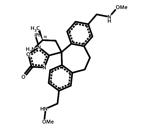 CONCc1ccc2c(c1)CCc1cc(CNOC)ccc1C2(C[C@H](C)N)c1nc(=O)on1C(C)C